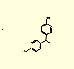 CC(C)(C)c1ccc(C(I)c2ccc(C(C)(C)C)cc2)cc1